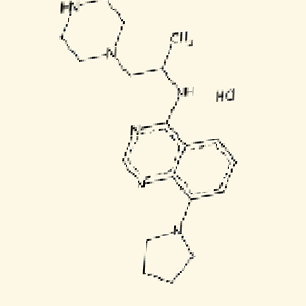 CC(CN1CCNCC1)Nc1ncnc2c(N3CCCC3)cccc12.Cl